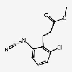 COC(=O)CCc1c(Cl)cccc1N=[N+]=[N-]